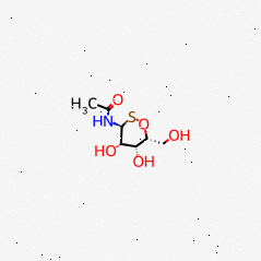 CC(=O)N[C@H]1SO[C@H](CO)[C@H](O)[C@@H]1O